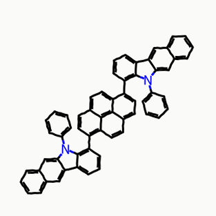 c1ccc(-n2c3cc4ccccc4cc3c3cccc(-c4ccc5ccc6c(-c7cccc8c9cc%10ccccc%10cc9n(-c9ccccc9)c78)ccc7ccc4c5c76)c32)cc1